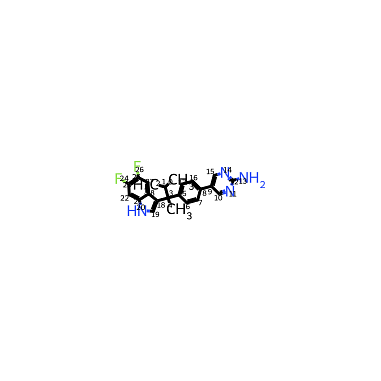 CC(C)C(C)(c1ccc(-c2cnc(N)nc2)cc1)c1c[nH]c2cc(F)c(F)cc12